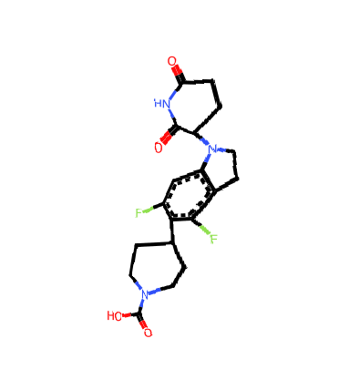 O=C1CCC(N2CCc3c2cc(F)c(C2CCN(C(=O)O)CC2)c3F)C(=O)N1